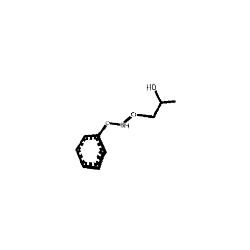 CC(O)COBOc1ccccc1